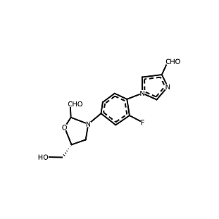 O=Cc1cn(-c2ccc(N3C[C@H](CO)OC3C=O)cc2F)cn1